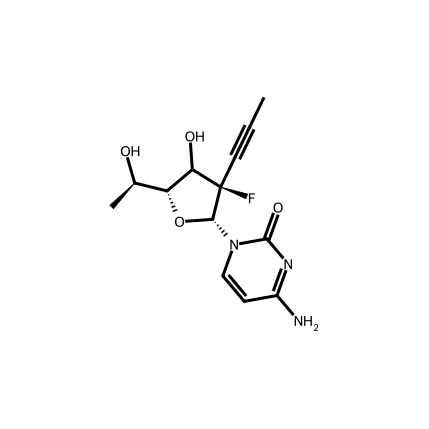 CC#C[C@@]1(F)C(O)[C@@H]([C@@H](C)O)O[C@H]1n1ccc(N)nc1=O